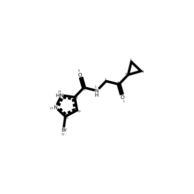 O=C(NCC(=O)C1CC1)c1cc(Br)n[nH]1